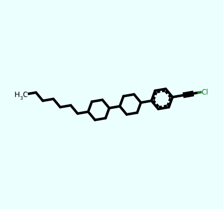 CCCCCCCC1CCC(C2CCC(c3ccc(C#CCl)cc3)CC2)CC1